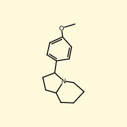 COc1ccc(C2CCC3CCCCN32)cc1